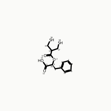 O=C(O[C@@H](Cc1ccccc1)C(=O)O)C(CS)CS